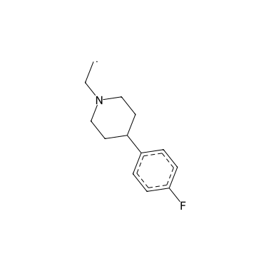 [CH2]CN1CCC(c2ccc(F)cc2)CC1